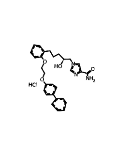 Cl.NC(=O)c1cn(C[C@@H](O)CCCc2ccccc2OCCOc2ccc(-c3ccccc3)cc2)cn1